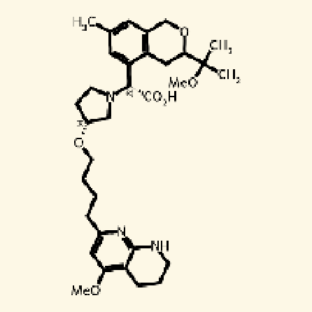 COc1cc(CCCCO[C@@H]2CCN([C@@H](C(=O)O)c3cc(C)cc4c3CC(C(C)(C)OC)OC4)C2)nc2c1CCCN2